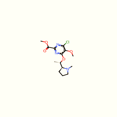 COC(=O)c1nc(Cl)c(OC)c(O[C@@H](C)[C@@H]2CCCN2C)n1